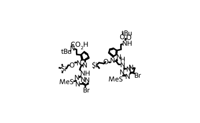 CSc1nc(NCc2nc3c(CCNC(=O)OC(C)(C)C)cccc3n2COCC[Si](C)(C)C)n2ncc(Br)c2n1.CSc1nc(NCc2nc3cccc(CCN(C(=O)O)C(C)(C)C)c3n2COCC[Si](C)(C)C)n2ncc(Br)c2n1